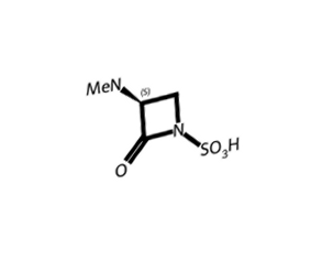 CN[C@H]1CN(S(=O)(=O)O)C1=O